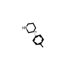 Cc1ccc([C@H]2CCCNC2)cc1